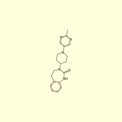 Cc1ncc(N2CCC(N3CCc4ccccc4NC3=O)CC2)cn1